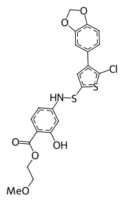 COCCOC(=O)c1ccc(NSc2cc(-c3ccc4c(c3)OCO4)c(Cl)s2)cc1O